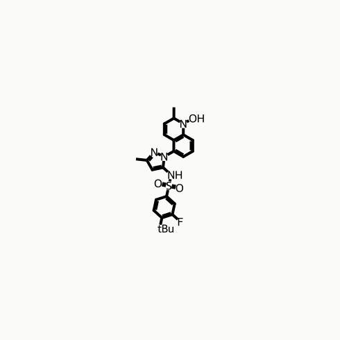 Cc1cc(NS(=O)(=O)c2ccc(C(C)(C)C)c(F)c2)n(-c2cccc3c2C=CC(C)N3O)n1